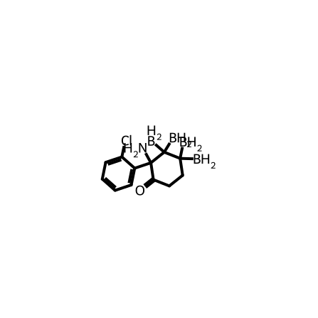 BC1(B)CCC(=O)C(N)(c2ccccc2Cl)C1(B)B